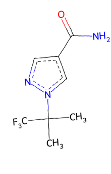 CC(C)(n1cc(C(N)=O)cn1)C(F)(F)F